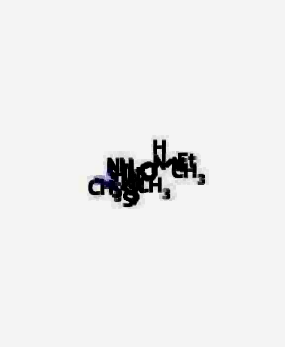 C\C=C/C=C(\C=C\N)SC1NC(NC2C=CC(NCCN(C)CC)=CCC2)N(C)c2ccsc21